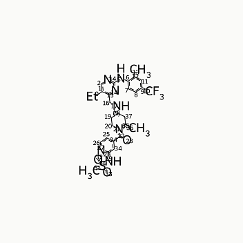 CCc1cnc(Nc2ccc(C(F)(F)F)cc2C)nc1CN[C@H]1CCN(C(=O)c2ccnc(NS(C)(=O)=O)c2)[C@H](C)C1